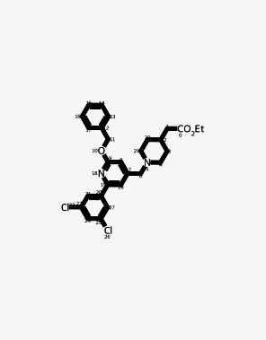 CCOC(=O)CC1CCN(Cc2cc(OCc3ccccc3)nc(-c3cc(Cl)cc(Cl)c3)c2)CC1